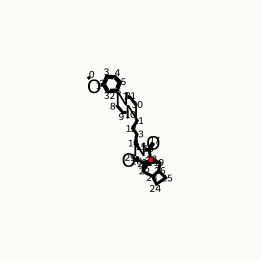 COc1cccc(N2CCN(CCCCN3C(=O)C4C5C=CC(C6CCC56)C4C3=O)CC2)c1